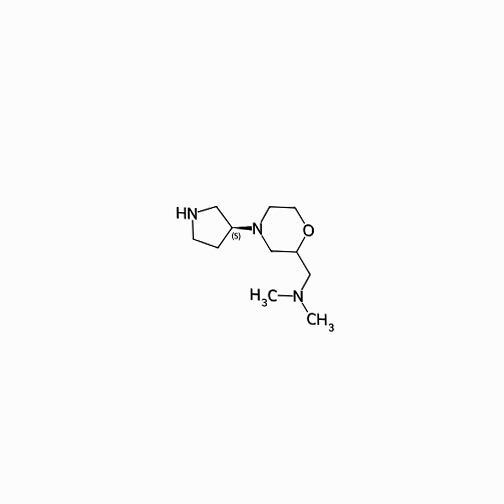 CN(C)CC1CN([C@H]2CCNC2)CCO1